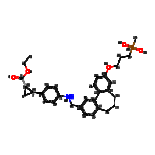 CCOC(=O)[C@H]1C[C@@H]1c1ccc(NCc2ccc3c(c2)-c2ccc(OCCCS(C)(=O)=O)cc2CCC3)cc1